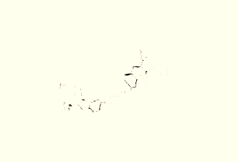 CCOC(=O)C(C#N)=Cc1ccc(OCCCOc2ccc(C=C(C#N)C(=O)OCC)cc2)cc1